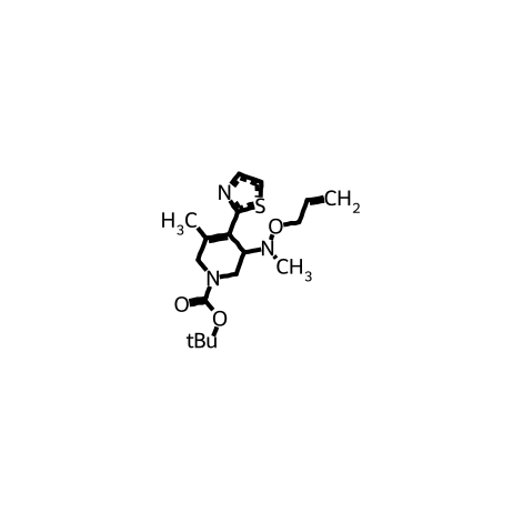 C=CCON(C)C1CN(C(=O)OC(C)(C)C)CC(C)=C1c1nccs1